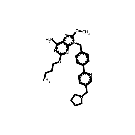 CCCCOc1nc(N)c2nc(OC)n(Cc3ccc(-c4ccc(CN5CCCC5)cn4)cc3)c2n1